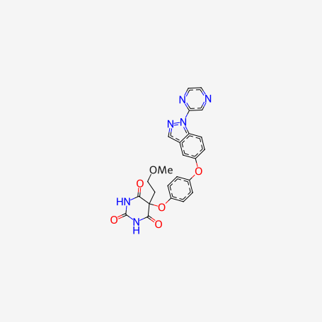 COCCC1(Oc2ccc(Oc3ccc4c(cnn4-c4cnccn4)c3)cc2)C(=O)NC(=O)NC1=O